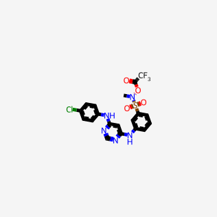 CN(OC(=O)C(F)(F)F)S(=O)(=O)c1cccc(Nc2cc(Nc3ccc(Cl)cc3)ncn2)c1